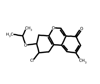 Cc1cc2c3c(occ-2c(=O)c1)CC(OC(C)C)C(Cl)C3